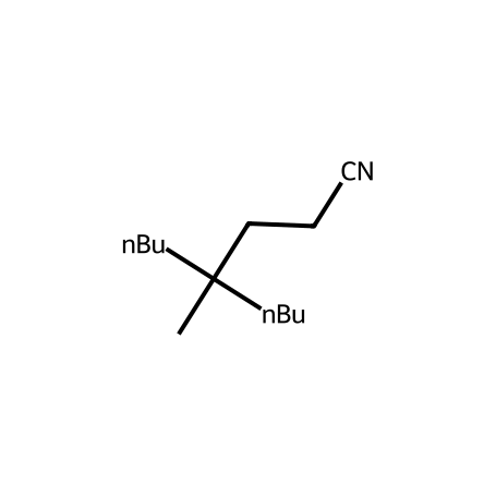 CCCCC(C)(CCC#N)CCCC